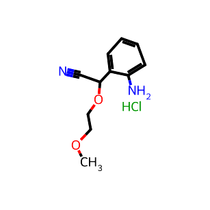 COCCOC(C#N)c1ccccc1N.Cl